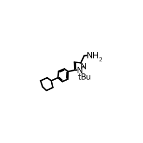 CC(C)(C)n1nc(CN)cc1-c1ccc(C2CCCCC2)cc1